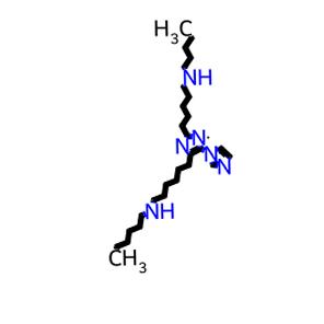 CCCCCCNCCCCCCC1=C(n2ccnc2)[N]C(CCCCCNCCCCC)=N1